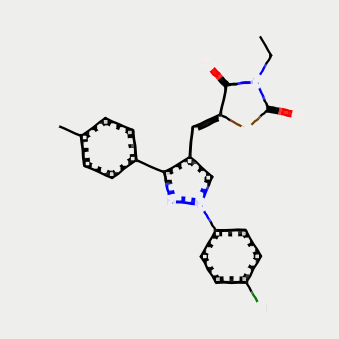 CCN1C(=O)S/C(=C\c2cn(-c3ccc(Cl)cc3)nc2-c2ccc(C)cc2)C1=O